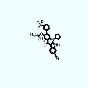 CC(C)Oc1cc2c(=O)c3c4ccc(C#N)cc4[nH]c3n(C3CCCC3)c2cc1-c1cccc(S(=O)(=O)F)c1